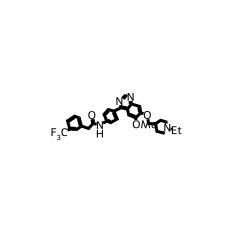 CCN1CCC(COc2cc3ncnc(-c4ccc(NC(=O)Cc5cccc(C(F)(F)F)c5)cc4)c3cc2OC)CC1